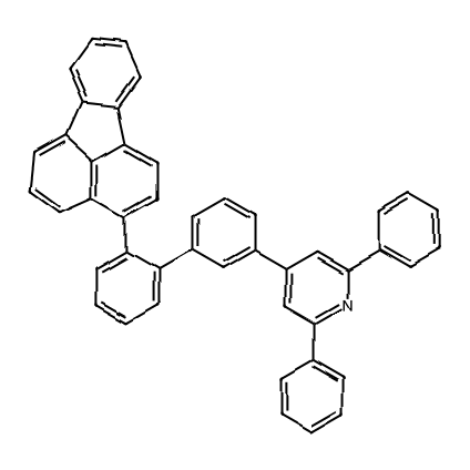 c1ccc(-c2cc(-c3cccc(-c4ccccc4-c4ccc5c6c(cccc46)-c4ccccc4-5)c3)cc(-c3ccccc3)n2)cc1